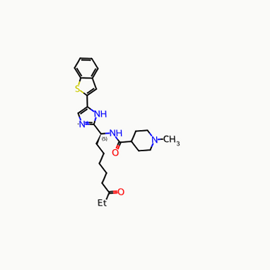 CCC(=O)CCCCC[C@H](NC(=O)C1CCN(C)CC1)C1=[N+]C=C(c2cc3ccccc3s2)N1